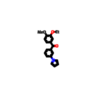 CCOc1cc(C(=O)c2cccc(-n3cccc3)c2)ccc1OC